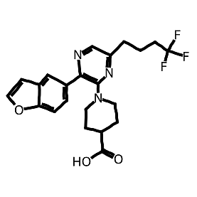 O=C(O)C1CCN(c2nc(CCCC(F)(F)F)cnc2-c2ccc3occc3c2)CC1